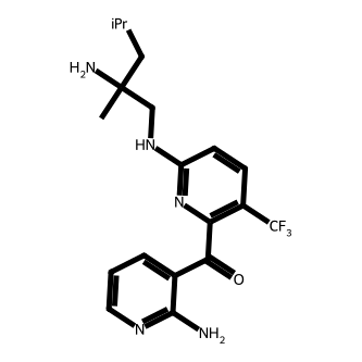 CC(C)CC(C)(N)CNc1ccc(C(F)(F)F)c(C(=O)c2cccnc2N)n1